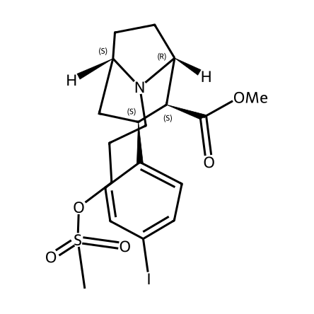 COC(=O)[C@H]1[C@@H](c2ccc(I)cc2)C[C@@H]2CC[C@H]1N2CCCOS(C)(=O)=O